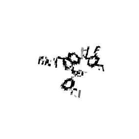 CNCc1cn([S+]([O-])c2cccc(Cl)c2)c2cc(Nc3ccc(Cl)cc3F)ccc12